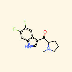 CN1CCCC1C(=O)c1c[nH]c2cc(F)c(F)cc12